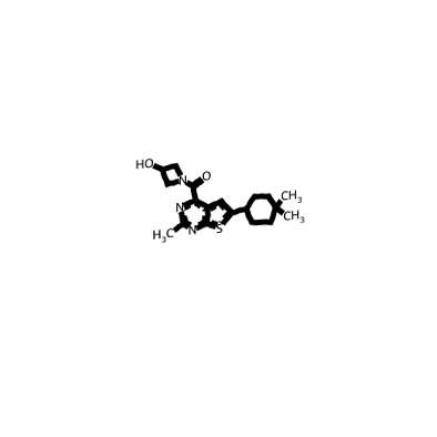 Cc1nc(C(=O)N2CC(O)C2)c2cc(C3CCC(C)(C)CC3)sc2n1